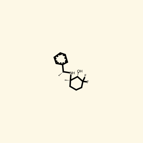 C[C@@H](N[C@]1(C)CCCC(F)(F)[C@H]1O)c1ccccc1